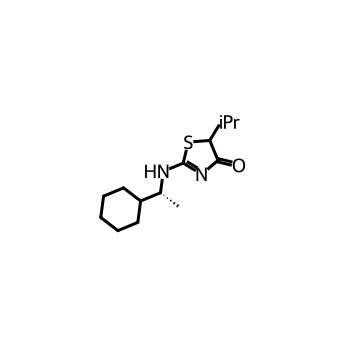 CC(C)C1SC(N[C@H](C)C2CCCCC2)=NC1=O